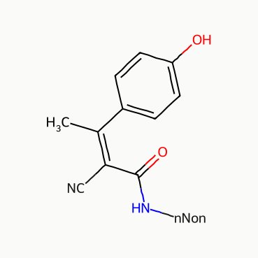 CCCCCCCCCNC(=O)/C(C#N)=C(/C)c1ccc(O)cc1